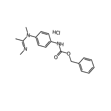 CN=C(C)N(C)c1ccc(NC(=O)OCc2ccccc2)cc1.Cl